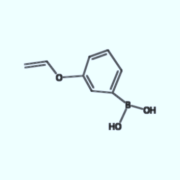 C=COc1cccc(B(O)O)c1